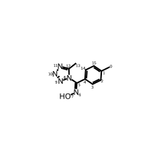 Cc1ccc(C(=NO)n2nnnc2C)cc1